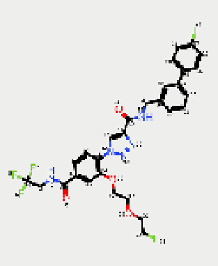 O=C(NCC(F)(F)F)c1ccc(-n2cc(C(=O)NCc3cccc(-c4ccc(F)cc4)c3)nn2)c(OCCOCCF)c1